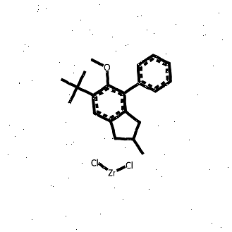 COc1c(C(C)(C)C)cc2c(c1-c1ccccc1)CC(C)[CH]2.[Cl][Zr][Cl]